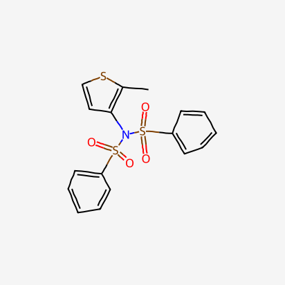 Cc1sccc1N(S(=O)(=O)c1ccccc1)S(=O)(=O)c1ccccc1